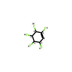 FC1=CC(F)C(F)C(F)C1F